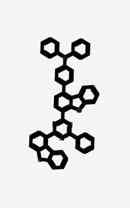 c1ccc(-c2nc(-c3ccc(-c4ccc(N(c5ccccc5)c5ccccc5)cc4)c4c3oc3ccccc34)nc(-c3cccc4sc5ccccc5c34)n2)cc1